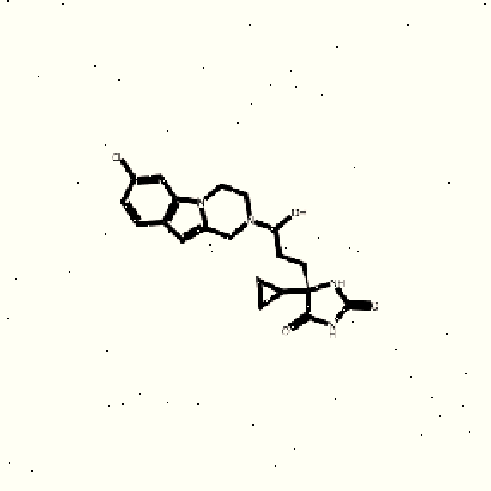 O=C1NC(=O)[C@](CCC(O)N2CCn3c(cc4ccc(Cl)cc43)C2)(C2CC2)N1